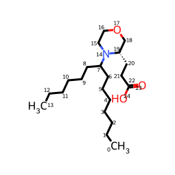 CCCCCCCC(CCCCCC)N1CCOC[C@@H]1CCC(=O)O